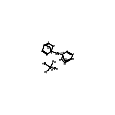 C1=C[C]2([Rh+][C]34C=CC(=CC3)C4)CC=C1C2.F[B-](F)(F)F